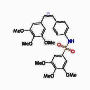 COc1cc(/C=C\c2ccc(NS(=O)(=O)c3cc(OC)c(OC)c(OC)c3)cc2)cc(OC)c1OC